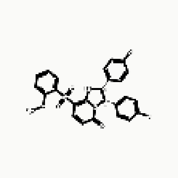 O=c1ccc(S(=O)(=O)c2ccccc2OC(F)(F)F)c2n1[C@@H](c1ccc(Cl)cc1)[C@@H](c1ccc(Cl)cc1)N2